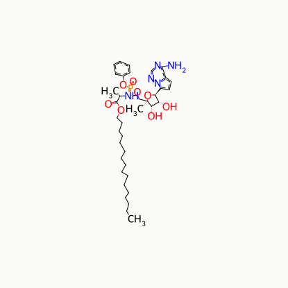 CCCCCCCCCCCCCCCCOC(=O)[C@H](C)NP(=O)(OC[C@@]1(C)O[C@@H](c2ccc3c(N)ncnn23)[C@H](O)[C@@H]1O)Oc1ccccc1